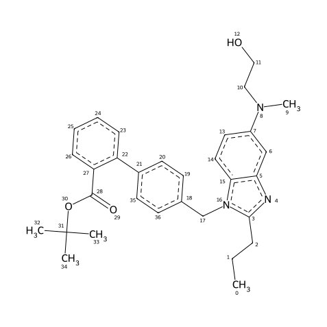 CCCc1nc2cc(N(C)CCO)ccc2n1Cc1ccc(-c2ccccc2C(=O)OC(C)(C)C)cc1